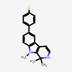 Cn1c2c(c3cc(-c4ccc(F)cc4)ccc31)C=CNC2(C)C